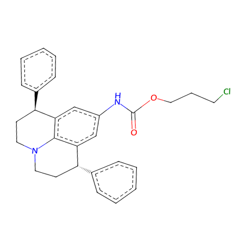 O=C(Nc1cc2c3c(c1)[C@H](c1ccccc1)CCN3CC[C@H]2c1ccccc1)OCCCCl